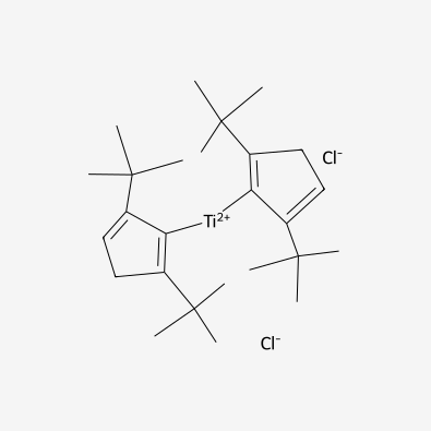 CC(C)(C)C1=CCC(C(C)(C)C)=[C]1[Ti+2][C]1=C(C(C)(C)C)CC=C1C(C)(C)C.[Cl-].[Cl-]